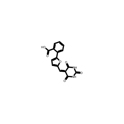 O=C1NC(=O)C(=Cc2ccc(-c3ccccc3C(=O)O)o2)C(=O)N1